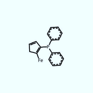 [Fe][C]1=C(P(c2ccccc2)c2ccccc2)C=CC1